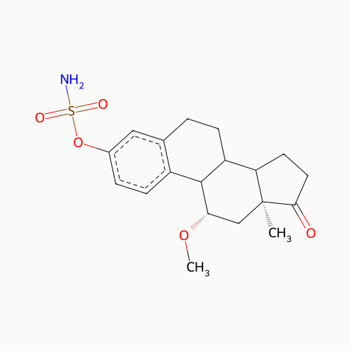 CO[C@H]1C[C@]2(C)C(=O)CCC2C2CCc3cc(OS(N)(=O)=O)ccc3C21